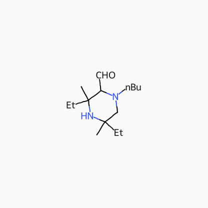 CCCCN1CC(C)(CC)NC(C)(CC)C1C=O